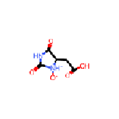 O=C(O)CC1C(=O)NC(=O)[NH+]1[O-]